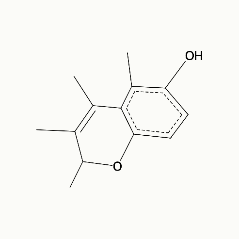 CC1=C(C)C(C)Oc2ccc(O)c(C)c21